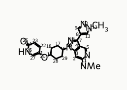 CNc1cc2c(cn1)c(-c1cnn(C)c1)nn2C1CCC(Oc2ccc(=O)[nH]c2)CC1